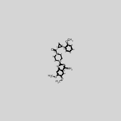 COc1cc2nc(N3CCN(C(=O)[C@@H]4C[C@H]4c4ccccc4OC)CC3)nc(N)c2cc1OC